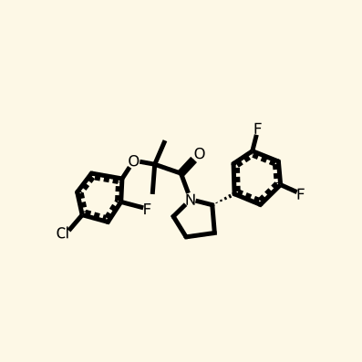 CC(C)(Oc1ccc(Cl)cc1F)C(=O)N1CCC[C@H]1c1cc(F)cc(F)c1